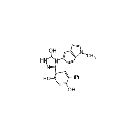 CC(C)c1cc(C2=NNC(O)N2c2ccc3c(ccn3C)c2)c(O)cc1O